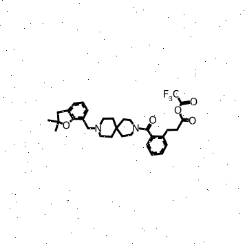 CC1(C)Cc2cccc(CN3CCC4(CC3)CCN(C(=O)c3ccccc3CCC(=O)OC(=O)C(F)(F)F)CC4)c2O1